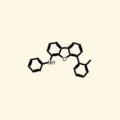 Cc1ccccc1-c1cccc2c1oc1c(Nc3ccccc3)cccc12